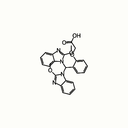 COc1nc2ccccc2n1C(c1ccccc1OCC(=O)O)n1c(OC)nc2ccccc21